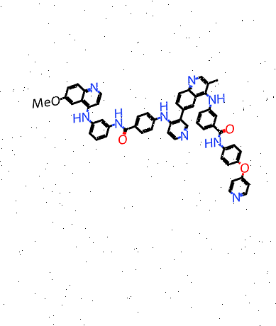 COc1ccc2nccc(Nc3cccc(NC(=O)c4ccc(Nc5ccncc5-c5ccc6ncc(C)c(Nc7cccc(C(=O)Nc8ccc(Oc9ccncc9)cc8)c7)c6c5)cc4)c3)c2c1